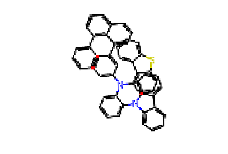 c1ccc(-c2cccc3cccc(-c4cccc(N(c5ccccc5-n5c6ccccc6c6ccccc65)c5cccc6sc7ccccc7c56)c4)c23)cc1